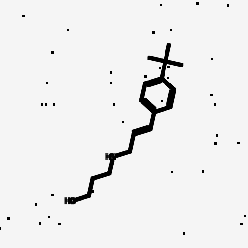 CC(C)(C)c1ccc(/C=C/CNCCCO)cc1